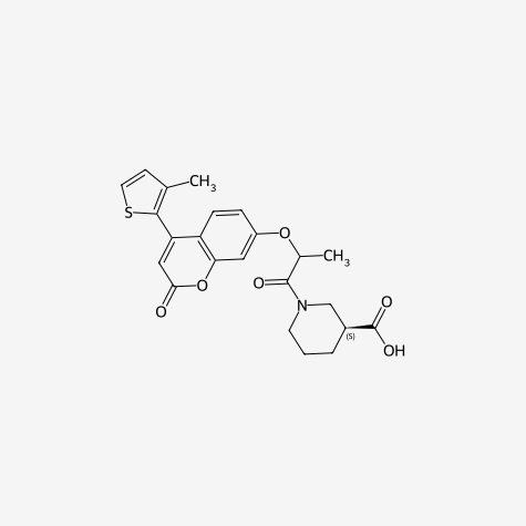 Cc1ccsc1-c1cc(=O)oc2cc(OC(C)C(=O)N3CCC[C@H](C(=O)O)C3)ccc12